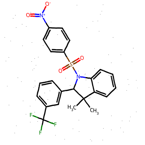 CC1(C)c2ccccc2N(S(=O)(=O)c2ccc([N+](=O)[O-])cc2)C1c1cccc(C(F)(F)F)c1